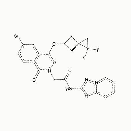 O=C(Cn1nc(O[C@H]2C[C@]3(CC3(F)F)C2)c2cc(Br)ccc2c1=O)Nc1nc2ccccn2n1